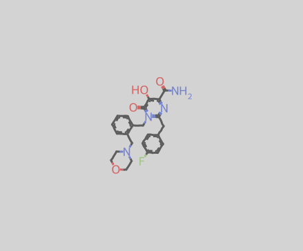 NC(=O)c1nc(Cc2ccc(F)cc2)n(Cc2ccccc2CN2CCOCC2)c(=O)c1O